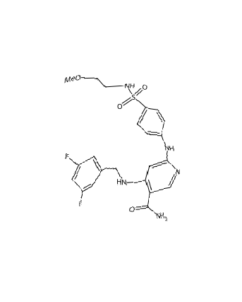 COCCNS(=O)(=O)c1ccc(Nc2cc(NCc3cc(F)cc(F)c3)c(C(N)=O)cn2)cc1